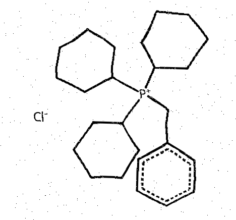 [Cl-].c1ccc(C[P+](C2CCCCC2)(C2CCCCC2)C2CCCCC2)cc1